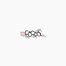 C[C@@H]1C=C(C(F)(F)F)OC2C[C@@]3(C)C4CCC5C(C)(C)[C@@H](O)CC[C@@]56C[C@@]46CC[C@]3(C)C21